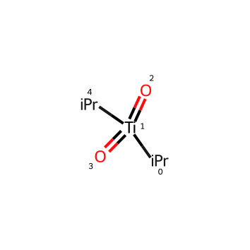 C[CH](C)[Ti](=[O])(=[O])[CH](C)C